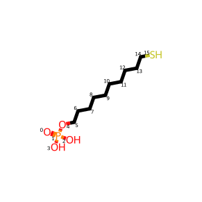 O=P(O)(O)OCCCCCCCCCCS